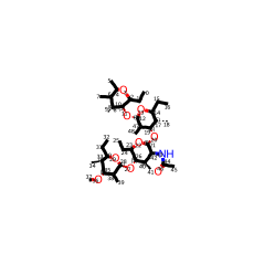 CCC1OC(C)C(C)[C@@H](C)[C@@H]1O[C@@H]1OC(CC)[C@H](C)[C@H](O[C@@H]2OC(CC)[C@@H](O[C@@H]3OC(CC)[C@H](C)[C@H](OC)C3C)[C@H](C)C2NC(C)=O)C1C